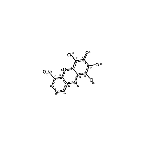 O=c1c(Cl)c2oc3c([N+](=O)[O-])cccc3nc-2c(Cl)c1Cl